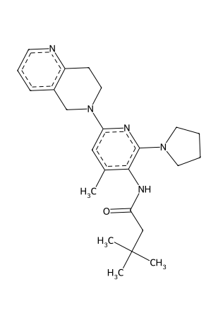 Cc1cc(N2CCc3ncccc3C2)nc(N2CCCC2)c1NC(=O)CC(C)(C)C